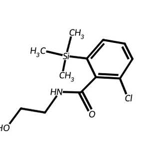 C[Si](C)(C)c1cccc(Cl)c1C(=O)NCCO